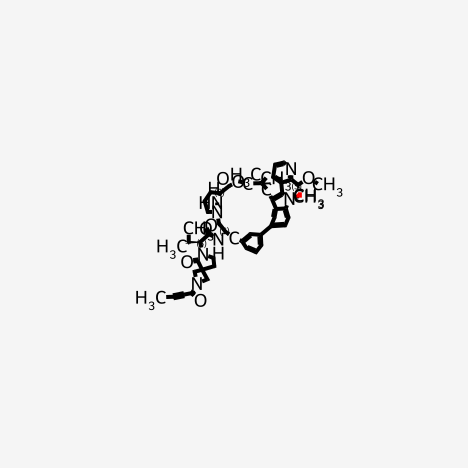 CC#CC(=O)N1CC2(CCN([C@H](C(=O)N[C@H]3Cc4cccc(c4)-c4ccc5c(c4)c(c(-c4cccnc4[C@H](C)OC)n5C)CC(C)(C)COC(=O)[C@@H]4CCCN(N4)C3=O)C(C)C)C2=O)C1